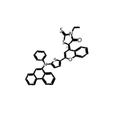 CCN1C(=O)/C(=C2/C=C(c3ccc(N(c4ccccc4)c4cc5ccccc5c5ccccc45)s3)Oc3ccccc32)SC1=S